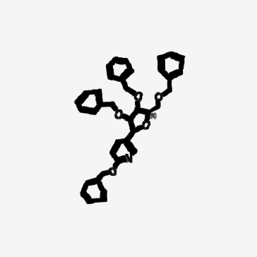 c1ccc(COC[C@H]2OC(c3ccc(OCc4ccccc4)nc3)C(OCc3ccccc3)C2OCc2ccccc2)cc1